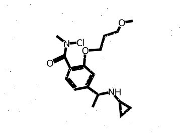 COCCCOc1cc(C(C)NC2CC2)ccc1C(=O)N(C)Cl